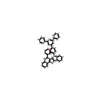 c1ccc(-c2nc3ccccc3c3oc4c5ccccc5n(-c5ccc(-c6cc(-c7ccccn7)nc(-c7ccccn7)c6)cc5)c4c23)cc1